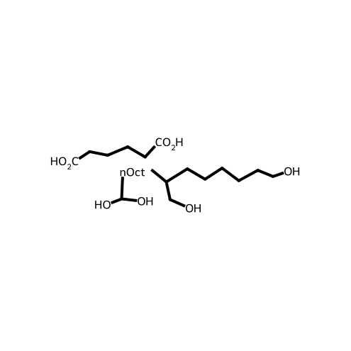 CC(CO)CCCCCCO.CCCCCCCCC(O)O.O=C(O)CCCCC(=O)O